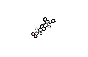 O=C1c2ccc3c4c(ccc(c24)C(=O)N1N(Cc1ccccc1)Cc1ccccc1)C(=O)N(N(Cc1ccccc1)Cc1ccccc1)C3=O